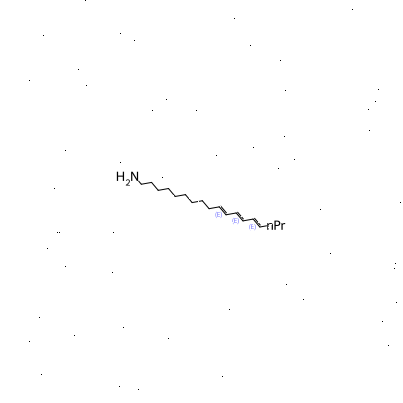 CCC/C=C/C=C/C=C/CCCCCCCCCN